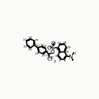 CN(C)c1cccc2c(S(=O)(=O)OC(c3ccc(-c4ccccc4)cc3)C(F)(F)F)cccc12